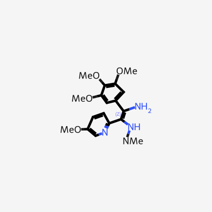 CNN/C(=C(\N)c1cc(OC)c(OC)c(OC)c1)c1ccc(OC)cn1